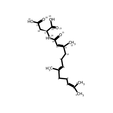 CC(C)=CCCC(C)=CCCC(C)=CC(=O)N[C@@H](CC(=O)O)C(=O)O